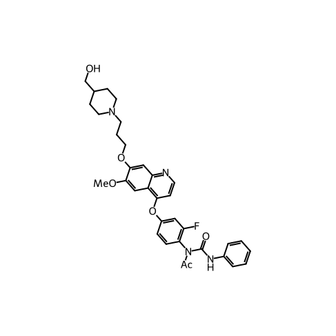 COc1cc2c(Oc3ccc(N(C(C)=O)C(=O)Nc4ccccc4)c(F)c3)ccnc2cc1OCCCN1CCC(CO)CC1